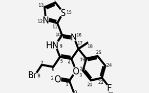 CC(=O)OC1=C(CCBr)NC(c2nccs2)=NC1(C)c1ccc(F)cc1